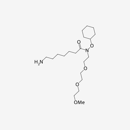 COCCOCCOCCN(OC1CCCCC1)C(=O)CCCCCCN